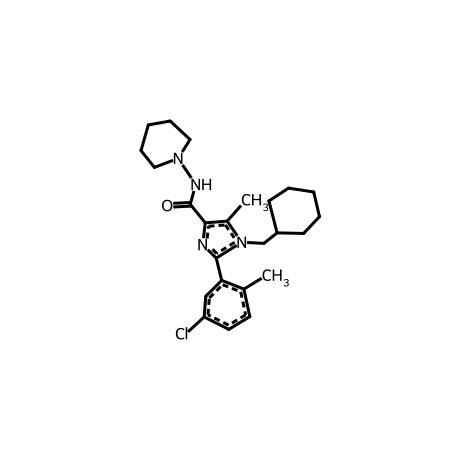 Cc1ccc(Cl)cc1-c1nc(C(=O)NN2CCCCC2)c(C)n1CC1CCCCC1